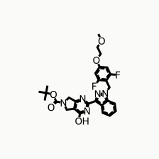 COCCOc1cc(F)c(Cn2nc(-c3nc(O)c4c(n3)CN(C(=O)OC(C)(C)C)C4)c3ccccc32)c(F)c1